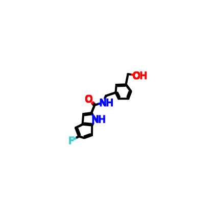 O=C(NCc1cccc(CO)c1)c1cc2cc(F)ccc2[nH]1